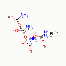 NC(=O)[O-].NC(=O)[O-].NC(=O)[O-].NC(=O)[O-].[Pb+4]